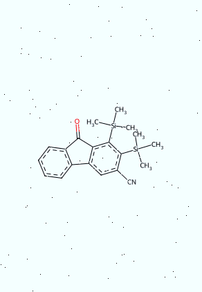 C[Si](C)(C)c1c(C#N)cc2c(c1[Si](C)(C)C)C(=O)c1ccccc1-2